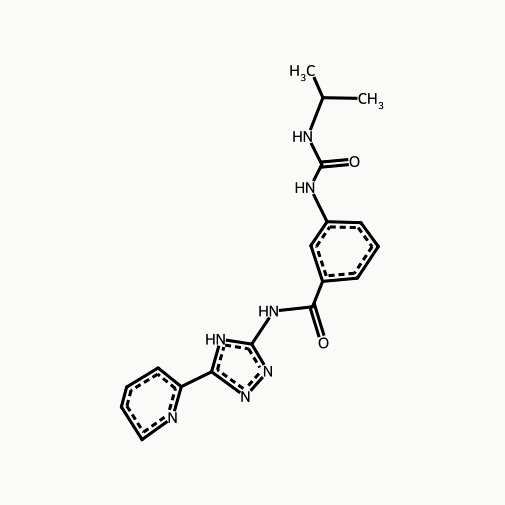 CC(C)NC(=O)Nc1cccc(C(=O)Nc2nnc(-c3ccccn3)[nH]2)c1